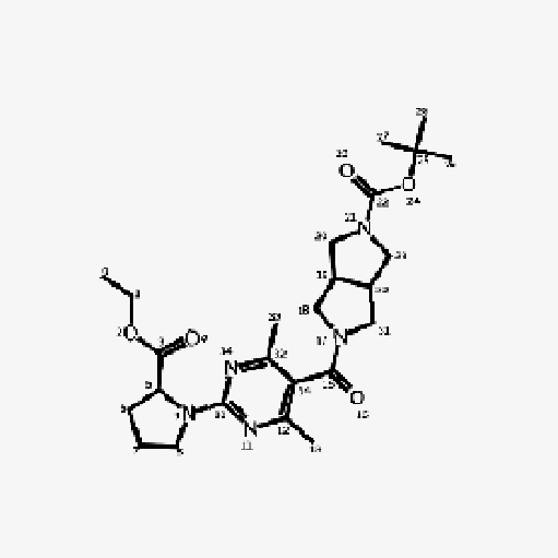 CCOC(=O)[C@@H]1CCCN1c1nc(C)c(C(=O)N2CC3CN(C(=O)OC(C)(C)C)CC3C2)c(C)n1